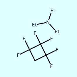 CCN(CC)CC.FC1(F)CC(F)(F)C1(F)F